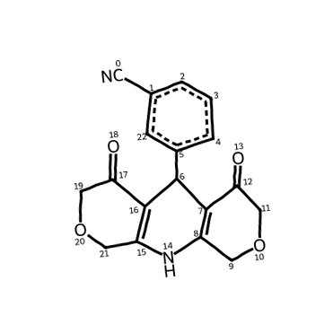 N#Cc1cccc(C2C3=C(COCC3=O)NC3=C2C(=O)COC3)c1